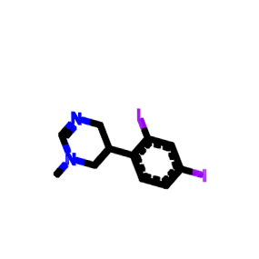 CN1C=NCC(c2ccc(I)cc2I)C1